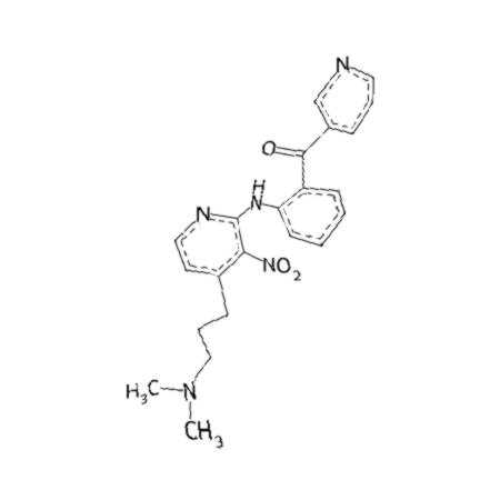 CN(C)CCCc1ccnc(Nc2ccccc2C(=O)c2cccnc2)c1[N+](=O)[O-]